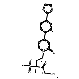 C[C@@](CCn1ccc(-c2ccc(-c3nccs3)cc2)cc1=O)(C(=O)NO)S(C)(=O)=O